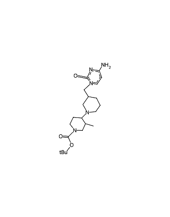 CC1CN(C(=O)OC(C)(C)C)CCC1N1CCCC(Cn2ccc(N)nc2=O)C1